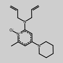 C=CCN(CC=C)c1cc(N2CCCCC2)cc(C)[n+]1[O-]